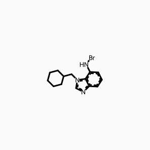 BrNc1cccc2ncn(CC3CCCCC3)c12